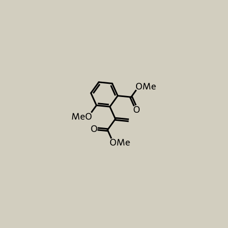 C=C(C(=O)OC)c1c(OC)cccc1C(=O)OC